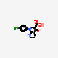 O=C(O)c1cn(-c2ccc(Cl)cc2)c2ncccc2c1=O